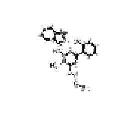 Cc1c(Nc2n[nH]c3ccccc23)nc(-c2ccccc2Cl)nc1SOON